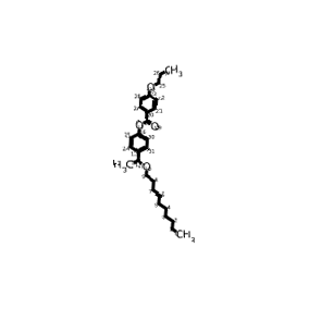 CCCCCCCCCCOC(C)c1ccc(OC(=O)c2ccc(OCCC)cc2)cc1